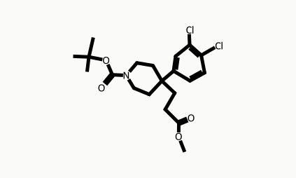 COC(=O)CCC1(c2ccc(Cl)c(Cl)c2)CCN(C(=O)OC(C)(C)C)CC1